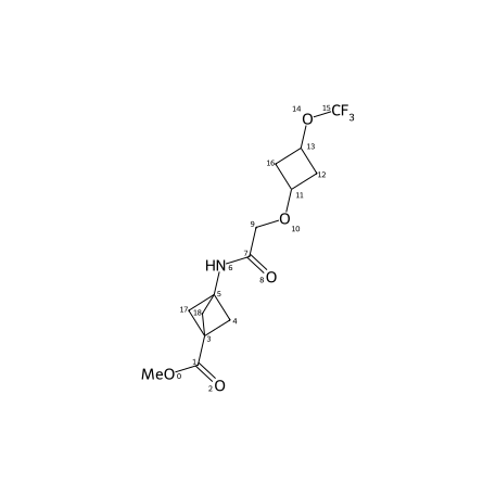 COC(=O)C12CC(NC(=O)COC3CC(OC(F)(F)F)C3)(C1)C2